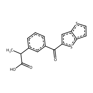 CC(C(=O)O)c1cccc(C(=O)c2cc3sccc3s2)c1